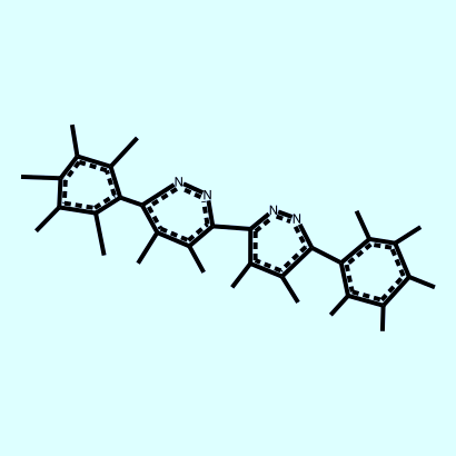 Cc1c(-c2nnc(-c3c(C)c(C)c(C)c(C)c3C)c(C)c2C)nnc(-c2c(C)c(C)c(C)c(C)c2C)c1C